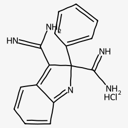 Cl.N=C(N)C1=c2ccccc2=NC1(C(=N)N)c1ccccc1